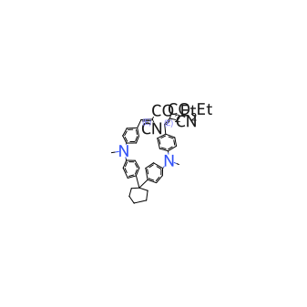 CCOC(=O)/C(C#N)=C/c1ccc(N(C)c2ccc(C3(c4ccc(N(C)c5ccc(/C=C(\C#N)C(=O)OCC)cc5)cc4)CCCCC3)cc2)cc1